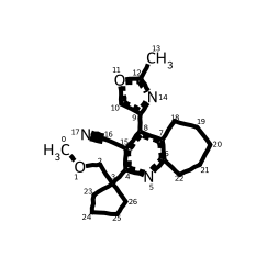 COCC1(c2nc3c(c(-c4coc(C)n4)c2C#N)CCCCC3)CCCC1